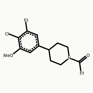 CCC(=O)N1CCC(c2cc(CC)c(Cl)c(OC)c2)CC1